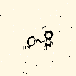 COc1ccc2ncc(=O)n(CCN3CC[CH]C(O)C3)c2c1